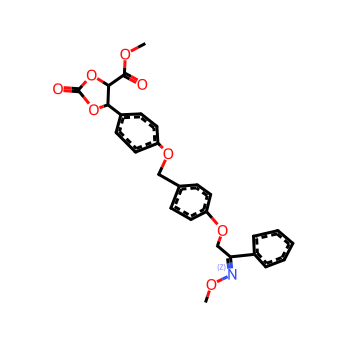 CO/N=C(\COc1ccc(COc2ccc(C3OC(=O)OC3C(=O)OC)cc2)cc1)c1ccccc1